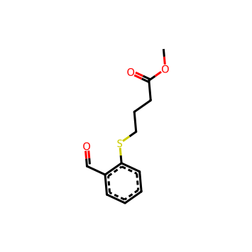 COC(=O)CCCSc1ccccc1C=O